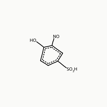 O=Nc1cc(S(=O)(=O)O)ccc1O